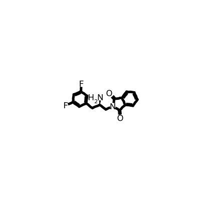 N[C@H](Cc1cc(F)cc(F)c1)CN1C(=O)c2ccccc2C1=O